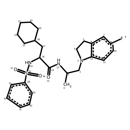 CC(CN1CCc2cc(F)ccc21)NC(=O)C(CC1CCCCC1)NS(=O)(=O)c1ccccc1